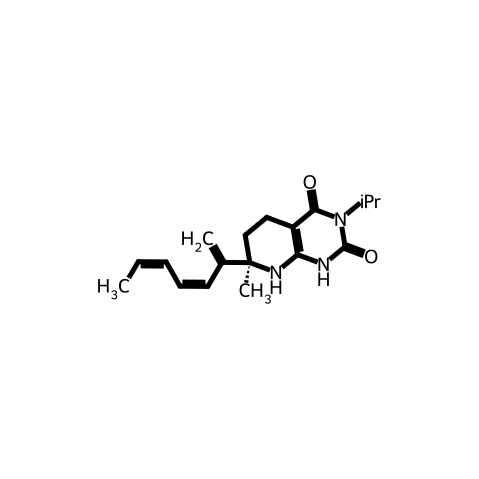 C=C(/C=C\C=C/C)[C@@]1(C)CCc2c([nH]c(=O)n(C(C)C)c2=O)N1